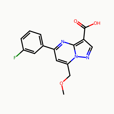 COCc1cc(-c2cccc(F)c2)nc2c(C(=O)O)cnn12